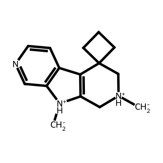 [CH2-][NH+]1CC2=C(c3ccncc3[NH+]2[CH2-])C2(CCC2)C1